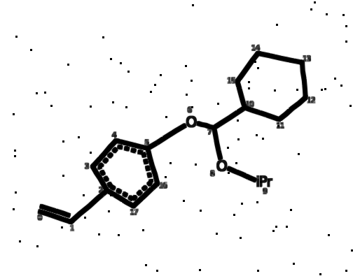 C=Cc1ccc(OC(OC(C)C)C2CCCCC2)cc1